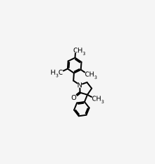 Cc1cc(C)c(CN2CCC(C)(c3ccccc3)C2=O)c(C)c1